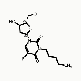 CCCCCn1c(=O)c(F)cn([C@@H]2CC(O)[C@H](CO)O2)c1=O